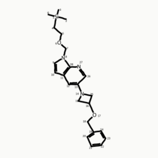 C[Si](C)(C)CCOCn1ccc2cc(N3CC(OCc4ccccc4)C3)cnc21